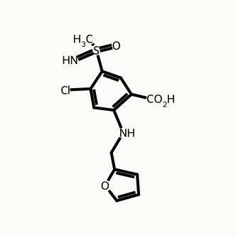 CS(=N)(=O)c1cc(C(=O)O)c(NCc2ccco2)cc1Cl